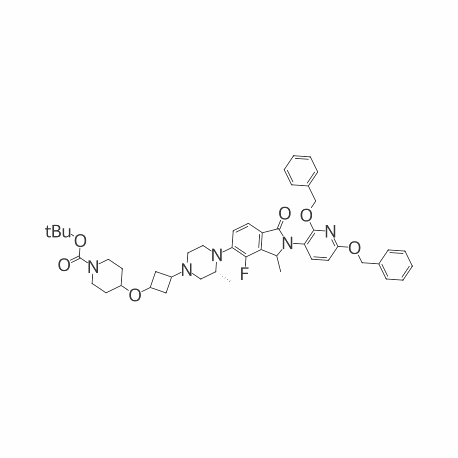 CC1c2c(ccc(N3CCN(C4CC(OC5CCN(C(=O)OC(C)(C)C)CC5)C4)C[C@H]3C)c2F)C(=O)N1c1ccc(OCc2ccccc2)nc1OCc1ccccc1